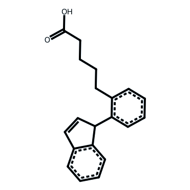 O=C(O)CCCCc1ccccc1C1C=Cc2ccccc21